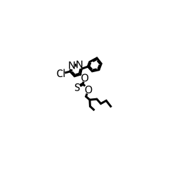 CCCCC(CC)COC(=S)Oc1cc(Cl)nnc1-c1ccccc1